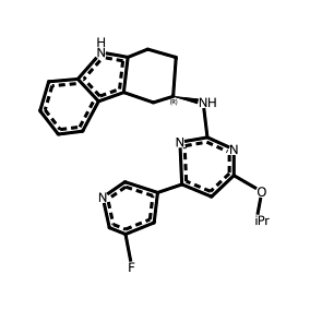 CC(C)Oc1cc(-c2cncc(F)c2)nc(N[C@@H]2CCc3[nH]c4ccccc4c3C2)n1